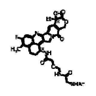 CC[C@@]1(O)C(=O)OCc2c1cc1n(c2=O)Cc2c-1nc1cc(F)c(C)c3c1c2[C@@H](NC(=O)COCNC(=O)CNC(C)=O)CC3